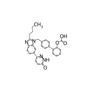 CCCCc1nc2ccc(-c3ccc(=O)[nH]n3)cc2n1Cc1ccc(-c2ccccc2OC(=O)O)cc1